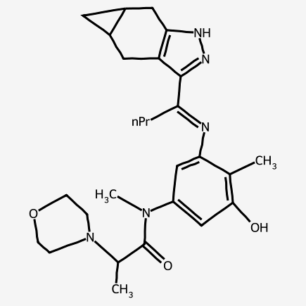 CCC/C(=N\c1cc(N(C)C(=O)C(C)N2CCOCC2)cc(O)c1C)c1n[nH]c2c1CC1CC1C2